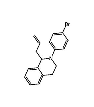 C=CCC1c2ccccc2CCN1c1ccc(Br)cc1